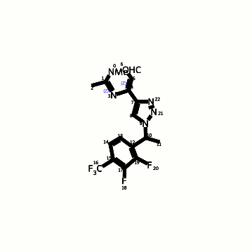 CN/C(C)=N\C(=C/C=O)c1cn(C(C)c2ccc(C(F)(F)F)c(F)c2F)nn1